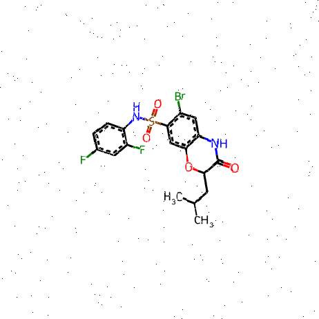 CC(C)CC1Oc2cc(S(=O)(=O)Nc3ccc(F)cc3F)c(Br)cc2NC1=O